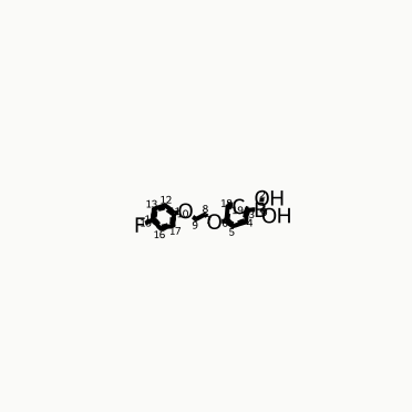 OB(O)c1ccc(OCCOc2ccc(F)cc2)cc1